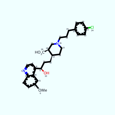 COc1ccc2nccc([C@H](O)CC[C@@H]3CCN(CCCc4ccc(Cl)cc4)C[C@@H]3C(=O)O)c2c1